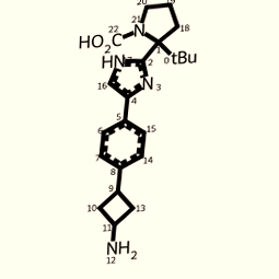 CC(C)(C)C1(c2nc(-c3ccc(C4CC(N)C4)cc3)c[nH]2)CCCN1C(=O)O